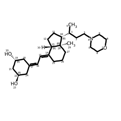 CC(CCN1CCOCC1)[C@H]1CC[C@H]2C(=CC=C3C[C@@H](O)C[C@H](O)C3)CCC[C@]12C